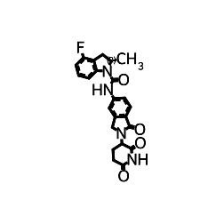 C[C@@H]1Cc2c(F)cccc2N1C(=O)Nc1ccc2c(c1)CN(C1CCC(=O)NC1=O)C2=O